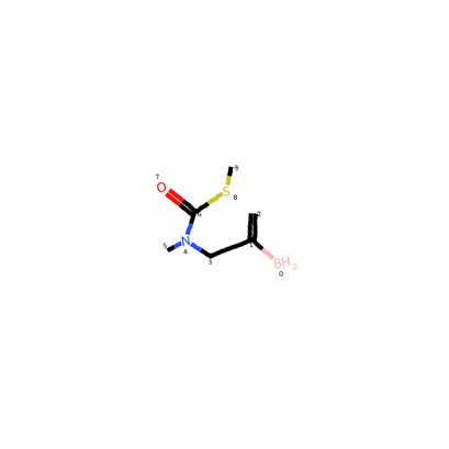 BC(=C)CN(C)C(=O)SC